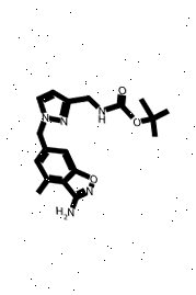 Cc1cc(Cn2ccc(CNC(=O)OC(C)(C)C)n2)cc2onc(N)c12